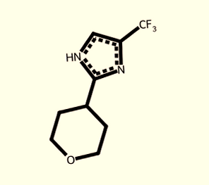 FC(F)(F)c1c[nH]c(C2CCOCC2)n1